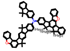 CCCCCCCC1(CCCCCCC)c2ccccc2-c2c1c1c(c3c2oc2ccccc23)-c2ccc(N(c3ccc4c(c3)C(C)(C)c3ccccc3-4)c3ccc4c(c3)C(C)(C)c3cc5c(cc3-4)C(C)(C)c3ccc4oc6ccccc6c4c3-5)cc2C1(CCCCCCC)CCCCCCC